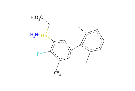 CCOC(=O)C[SH](N)c1cc(-c2c(C)cccc2C)cc(C(F)(F)F)c1F